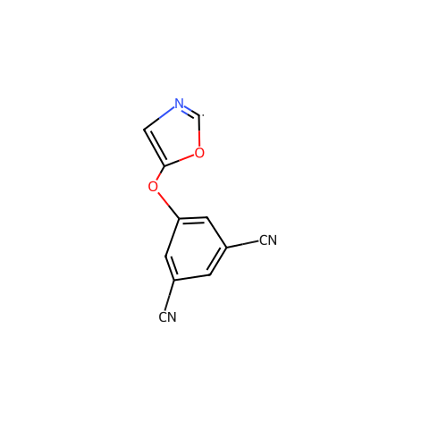 N#Cc1cc(C#N)cc(Oc2cn[c]o2)c1